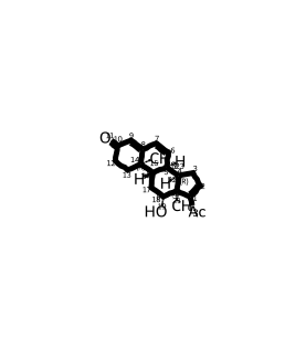 CC(=O)C1=CC[C@@H]2[C@@H]3C=CC4=CC(=O)CC[C@]4(C)[C@H]3C[C@@H](O)[C@]12C